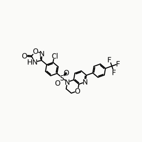 O=c1[nH]c(-c2ccc(S(=O)(=O)N3CCOc4nc(-c5ccc(C(F)(F)F)cc5)ccc43)cc2Cl)no1